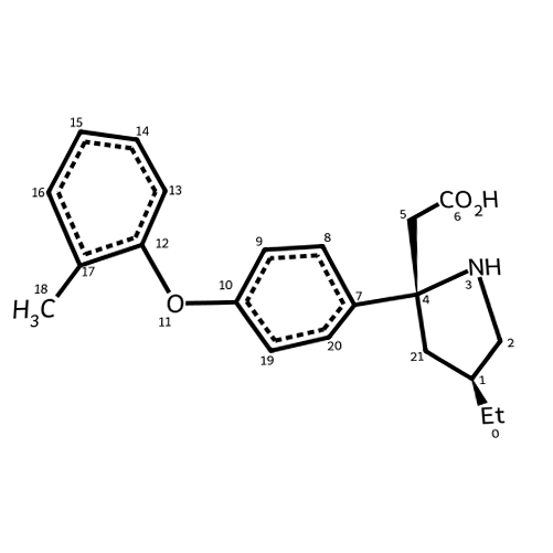 CC[C@@H]1CN[C@@](CC(=O)O)(c2ccc(Oc3ccccc3C)cc2)C1